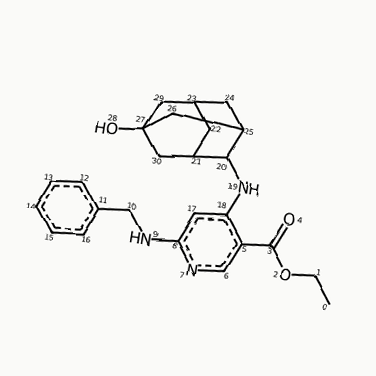 CCOC(=O)c1cnc(NCc2ccccc2)cc1NC1C2CC3CC1CC(O)(C3)C2